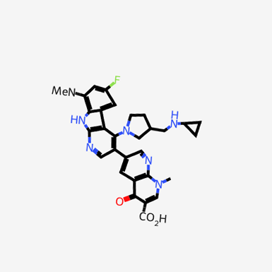 CNc1cc(F)cc2c1[nH]c1ncc(-c3cnc4c(c3)c(=O)c(C(=O)O)cn4C)c(N3CCC(CNC4CC4)C3)c12